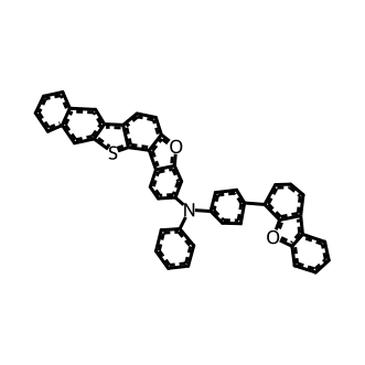 c1ccc(N(c2ccc(-c3cccc4c3oc3ccccc34)cc2)c2ccc3c(c2)oc2ccc4c5cc6ccccc6cc5sc4c23)cc1